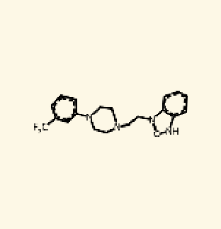 FC(F)(F)c1cccc(N2CCN(CCN3ONc4ccccc43)CC2)c1